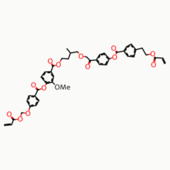 C=CC(=O)OCCc1ccc(C(=O)Oc2ccc(C(=O)COCC(C)CCOC(=O)c3ccc(OC(=O)c4ccc(OCOC(=O)C=C)cc4)c(OC)c3)cc2)cc1